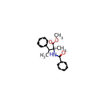 COC(=O)[C@@](C)(NC(=O)c1ccccc1)C(C)c1ccccc1